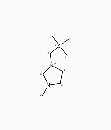 CN1CCN(C[Si](C)(C)C)C1